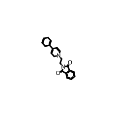 O=C1c2ccccc2C(=O)N1CCN1C=CC(C2=CCC=CC2)=CC1